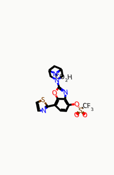 O=C(O)N1C2CC1CN(c1nc3c(OS(=O)(=O)C(F)(F)F)ccc(-c4nccs4)c3o1)C2